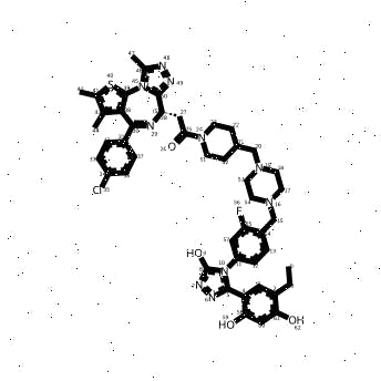 CCc1cc(-c2nnc(O)n2-c2ccc(CN3CCN(CC4CCN(C(=O)C[C@@H]5N=C(c6ccc(Cl)cc6)c6c(sc(C)c6C)-n6c(C)nnc65)CC4)CC3)c(F)c2)c(O)cc1O